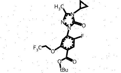 Cc1nn(-c2cc(OCC(F)(F)F)c(C(=O)OC(C)(C)C)cc2F)c(=O)n1C1CC1